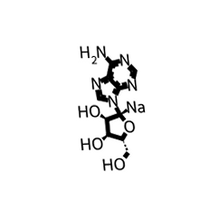 Nc1ncnc2c1ncn2[C@]1([Na])O[C@H](CO)[C@@H](O)[C@H]1O